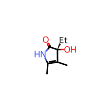 CC[C@]1(O)C(=O)NC(C)=C1C